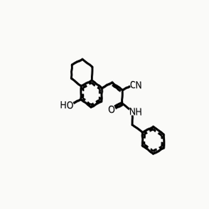 N#CC(=Cc1ccc(O)c2c1CCCC2)C(=O)NCc1ccccc1